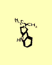 CC(C)N1CCc2[nH]c3ccccc3c2C1